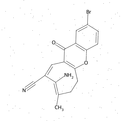 C/C1=C(N)\C(C#N)=C/c2c(oc3ccc(Br)cc3c2=O)CC1